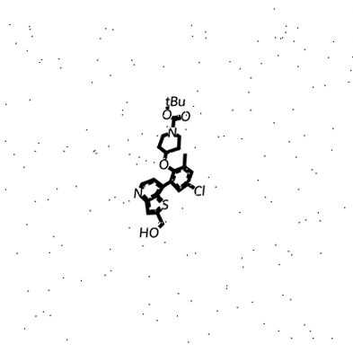 Cc1cc(Cl)cc(-c2ccnc3cc(CO)sc23)c1OC1CCN(C(=O)OC(C)(C)C)CC1